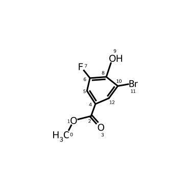 COC(=O)c1cc(F)c(O)c(Br)c1